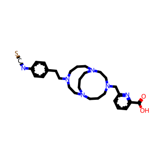 O=C(O)c1cccc(CN2CCCN3CCCN(CCCN(CCc4ccc(N=C=S)cc4)CC3)CC2)n1